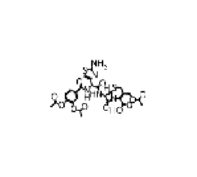 CC(=O)OCC1=C(C(=O)O)N2C(=O)C(NC(=O)C(NC(=O)c3ccc(OC(C)=O)c(OC(C)=O)c3)c3csc(N)n3)[C@H]2SC1